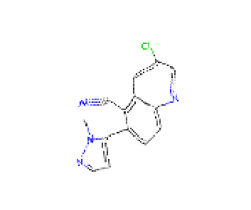 Cn1nccc1-c1ccc2ncc(Cl)cc2c1C#N